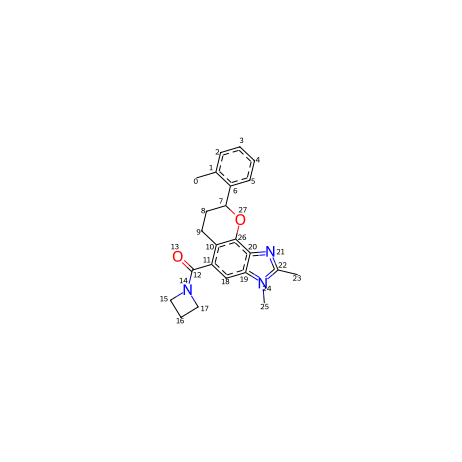 Cc1ccccc1C1CCc2c(C(=O)N3CCC3)cc3c(nc(C)n3C)c2O1